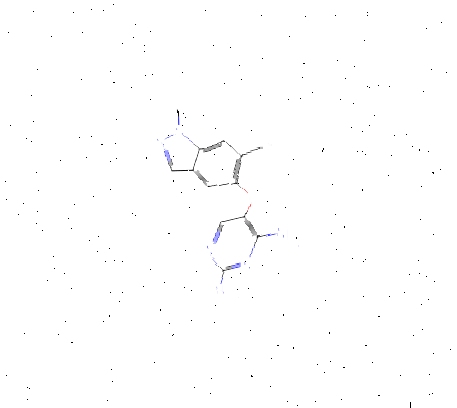 CC(C)c1cc2c(cnn2C)cc1Oc1cnc(N)nc1N